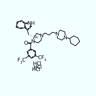 Cl.Cl.Cl.O=C(c1cc(C(F)(F)F)cc(C(F)(F)F)c1)N1CCN(CCCN2CCN(C3CCCCC3)CC2)C[C@H]1Cc1c[nH]c2ccccc12